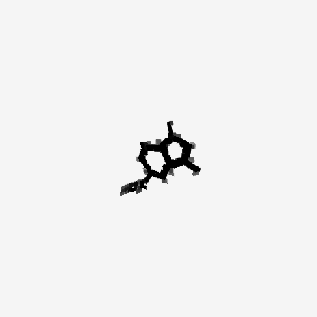 Cc1cn(C)c2ncc(C(=O)O)cc12